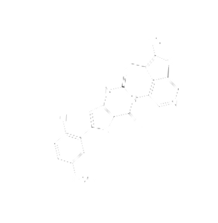 COc1ccc(Cl)c(-c2cc3[nH]c(=O)n(-c4cncc5sc(C#N)c(C)c45)c(=O)c3s2)c1